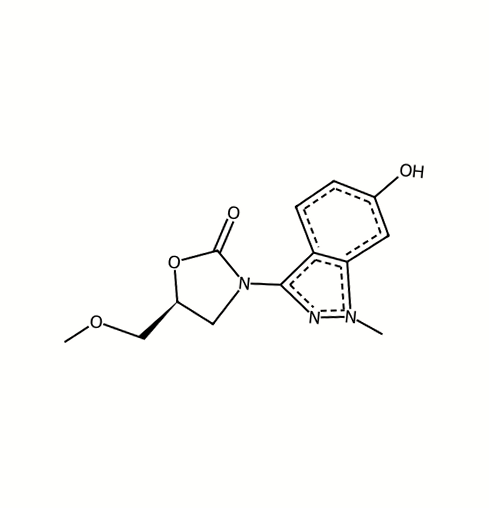 COC[C@@H]1CN(c2nn(C)c3cc(O)ccc23)C(=O)O1